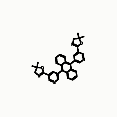 CC1(C)CN=C(c2cncc(-c3c4ccccc4c(-c4cncc(C5=NCC(C)(C)O5)c4)c4ccccc34)c2)O1